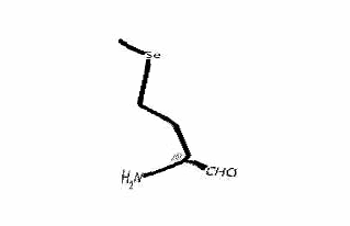 C[Se]CC[C@H](N)C=O